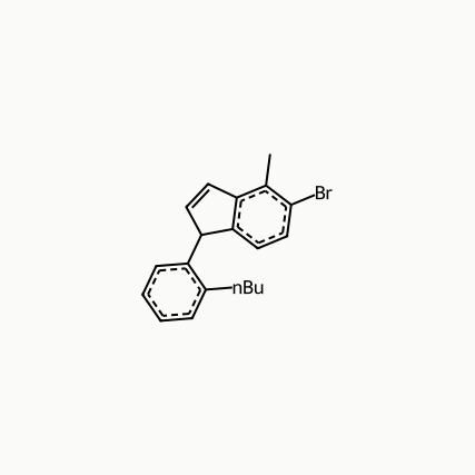 CCCCc1ccccc1C1C=Cc2c1ccc(Br)c2C